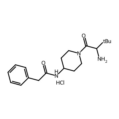 CC(C)(C)C(N)C(=O)N1CCC(NC(=O)Cc2ccccc2)CC1.Cl